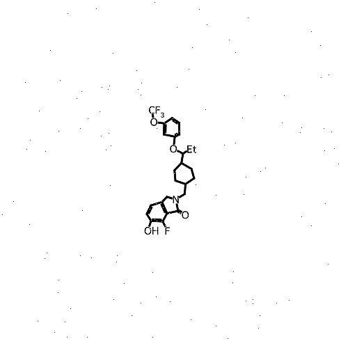 CCC(Oc1cccc(OC(F)(F)F)c1)C1CCC(CN2Cc3ccc(O)c(F)c3C2=O)CC1